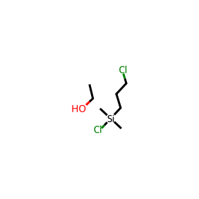 CCO.C[Si](C)(Cl)CCCCl